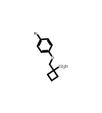 CCOC(=O)C1(COc2ccc(Br)cc2)CCC1